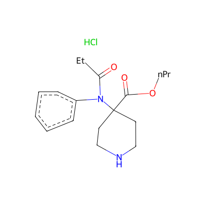 CCCOC(=O)C1(N(C(=O)CC)c2ccccc2)CCNCC1.Cl